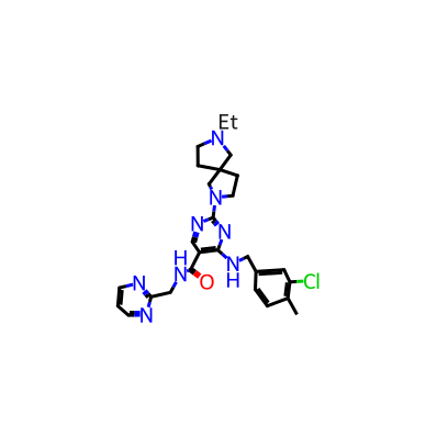 CCN1CCC2(CCN(c3ncc(C(=O)NCc4ncccn4)c(NCc4ccc(C)c(Cl)c4)n3)C2)C1